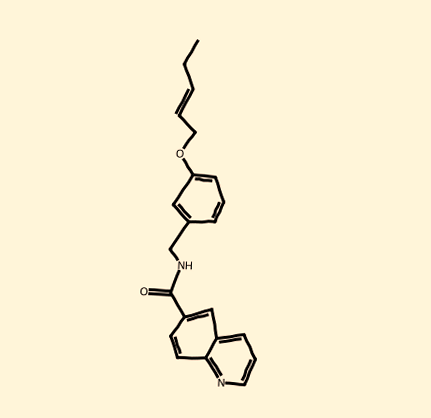 CC/C=C/COc1cccc(CNC(=O)c2ccc3ncccc3c2)c1